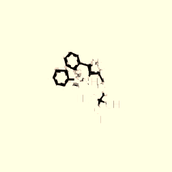 CC(C)(O)COCc1onc(-c2ccccc2)c1NS(=O)(=O)c1ccccc1